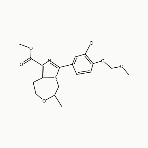 COCOc1ccc(-c2nc(C(=O)OC)c3n2CC(C)OCC3)cc1Cl